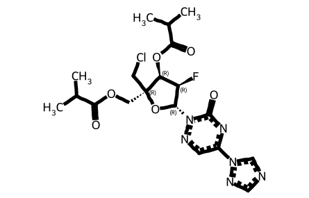 CC(C)C(=O)OC[C@@]1(CCl)O[C@@H](n2ncc(-n3cncn3)nc2=O)[C@H](F)[C@@H]1OC(=O)C(C)C